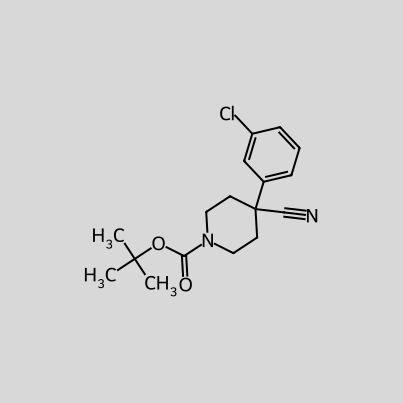 CC(C)(C)OC(=O)N1CCC(C#N)(c2cccc(Cl)c2)CC1